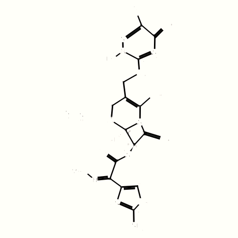 CO/N=C(\C(=O)N[C@@H]1C(=O)N2C(C(=O)[O-])=C(CSc3nc(=O)c([O-])nn3C)CS[C@H]12)c1csc(N)n1.[Na+].[Na+]